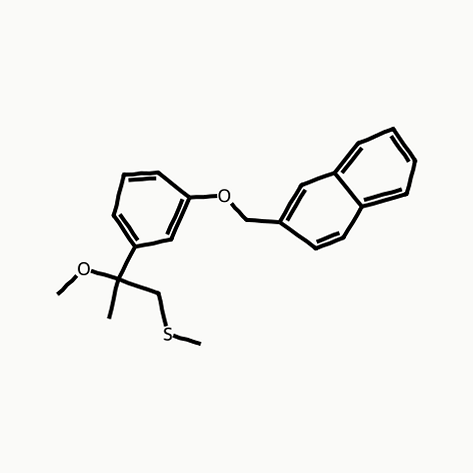 COC(C)(CSC)c1cccc(OCc2ccc3ccccc3c2)c1